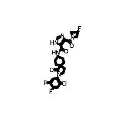 O=C(NC1CCC2(CC1)CCN(c1cc(F)c(F)cc1Cl)C2=O)c1[nH]cnc1C(=O)N1CC(F)C1